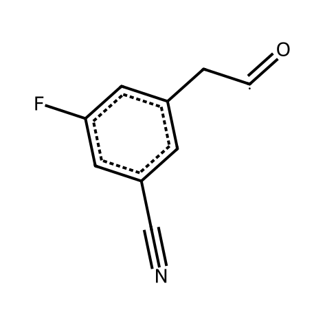 N#Cc1cc(F)cc(C[C]=O)c1